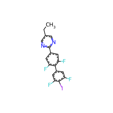 CCc1cnc(-c2cc(F)c(-c3cc(F)c(I)c(F)c3)c(F)c2)nc1